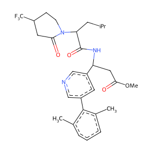 COC(=O)CC(NC(=O)C(CC(C)C)N1CCC(C(F)(F)F)CC1=O)c1cncc(-c2c(C)cccc2C)c1